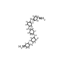 Cc1cc(Cc2ccc(N)cc2)ccc1Cc1ccc(Cc2ccc(Cc3ccc(N)cc3)cc2)cc1